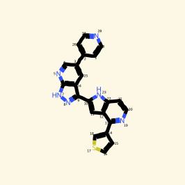 c1cc(-c2cnc3[nH]nc(-c4cc5c(-c6ccsc6)nccc5[nH]4)c3c2)ccn1